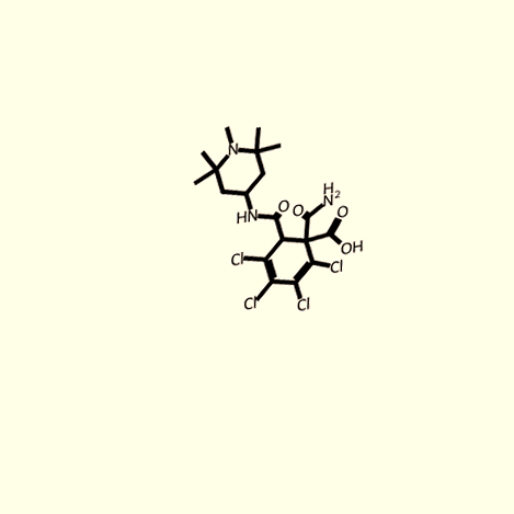 CN1C(C)(C)CC(NC(=O)C2C(Cl)=C(Cl)C(Cl)=C(Cl)C2(C(N)=O)C(=O)O)CC1(C)C